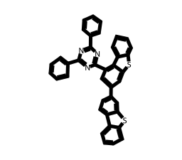 c1ccc(-c2nc(-c3ccccc3)nc(-c3cc(-c4ccc5c(c4)sc4ccccc45)cc4sc5ccccc5c34)n2)cc1